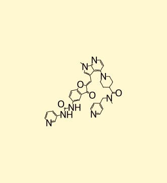 CN(Cc1ccncc1)C(=O)C1CCN(c2ccnc3c2c(C=C2Oc4ccc(NC(=O)Nc5cccnc5)cc4C2=O)cn3C)CC1